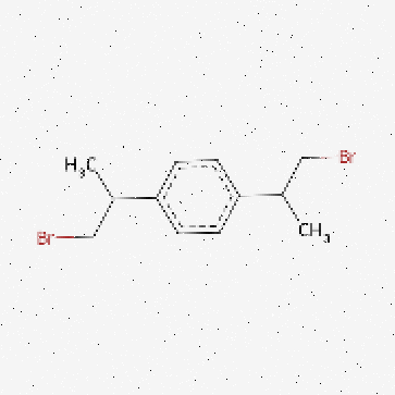 CC(CBr)c1ccc(C(C)CBr)cc1